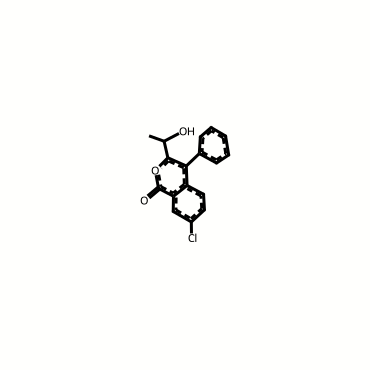 CC(O)c1oc(=O)c2cc(Cl)ccc2c1-c1ccccc1